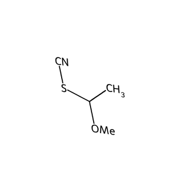 COC(C)SC#N